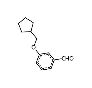 O=Cc1cccc(OCC2CCCC2)c1